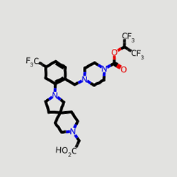 O=C(O)CN1CCC2(CC1)CCN(C1=C(CN3CCN(C(=O)OC(C(F)(F)F)C(F)(F)F)CC3)C=CC(C(F)(F)F)C1)C2